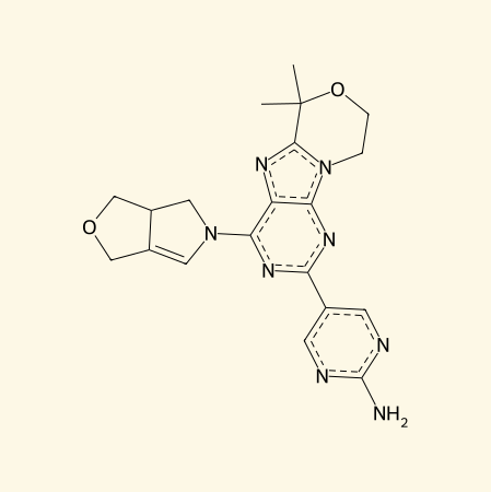 CC1(C)OCCn2c1nc1c(N3C=C4COCC4C3)nc(-c3cnc(N)nc3)nc12